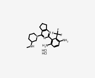 CNC1CCCN(c2nc(-c3c(N)ccc(N)c3C(F)(F)F)nc3c2CCC3)C1.Cl.Cl